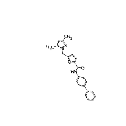 Cc1cc(C)n(Cc2ccc(C(=O)Nc3ccc(-c4ccccc4)cc3)o2)n1